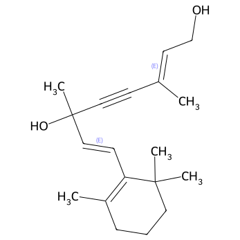 CC1=C(/C=C/C(C)(O)C#C/C(C)=C/CO)C(C)(C)CCC1